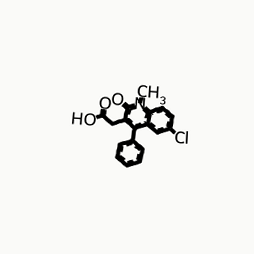 Cn1c(=O)c(CC(=O)O)c(-c2ccccc2)c2cc(Cl)ccc21